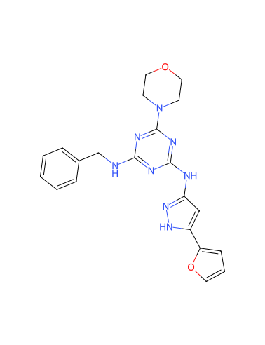 c1ccc(CNc2nc(Nc3cc(-c4ccco4)[nH]n3)nc(N3CCOCC3)n2)cc1